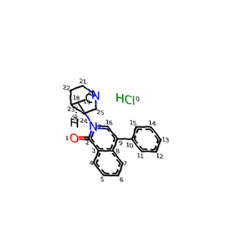 Cl.O=c1c2ccccc2c(-c2ccccc2)cn1[C@@H]1CN2CCC1CC2